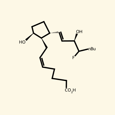 CCCCC(F)[C@H](O)/C=C/[C@H]1CC[C@H](O)[C@@H]1C/C=C\CCCC(=O)O